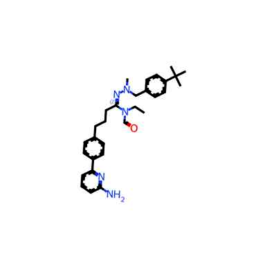 CCN(C=O)/C(CCCc1ccc(-c2cccc(N)n2)cc1)=N\N(C)Cc1ccc(C(C)(C)C)cc1